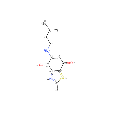 C[C](CCNC1=CC(=O)c2sc(C)nc2C1=O)C(C)(C)C